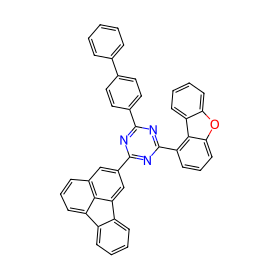 c1ccc(-c2ccc(-c3nc(-c4cc5c6c(cccc6c4)-c4ccccc4-5)nc(-c4cccc5oc6ccccc6c45)n3)cc2)cc1